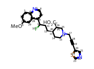 COc1ccc2nccc(C(F)CC[C@@H]3CCN(CC#Cc4cncs4)C[C@@H]3C(=O)O)c2c1